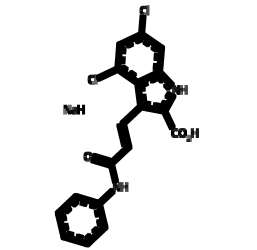 O=C(C=Cc1c(C(=O)O)[nH]c2cc(Cl)cc(Cl)c12)Nc1ccccc1.[NaH]